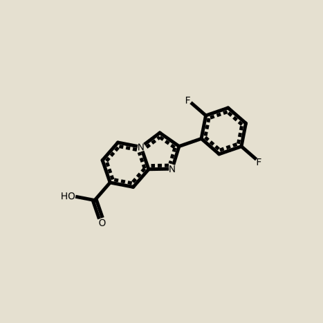 O=C(O)c1ccn2cc(-c3cc(F)ccc3F)nc2c1